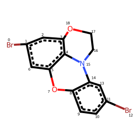 Brc1cc2c3c(c1)Oc1ccc(Br)cc1N3CCO2